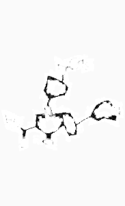 COc1ccc(-n2cc(C(=O)O)c(=O)c3ccc(-c4ccncc4)cc32)cc1